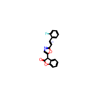 O=C1Oc2ccccc2C1c1cnc(/C=C/c2ccccc2F)o1